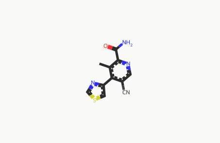 Cc1c(C(N)=O)ncc(C#N)c1-c1cscn1